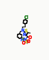 Cc1sc(N(CCc2ccc(Cl)cc2)Cc2cccc(F)c2)nc1C(=O)NS(C)(=O)=O